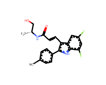 N#Cc1ccc(-c2[nH]c3c(F)cc(F)cc3c2C=CC(=O)N[C@@H](CO)C(F)(F)F)cc1